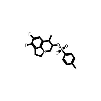 Cc1ccc(S(=O)(=O)OC2CN3CCc4c(F)c(F)cc(c43)C2C)cc1